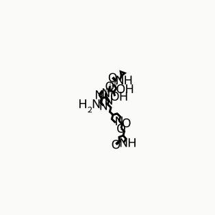 Nc1nc(CCC2CCN(C(=O)OCC3CNC(=O)C3)CC2)nc2c1ncn2[C@@H]1O[C@H](C(=O)NC2CC2)C(O)C1O